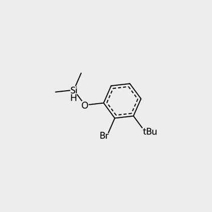 C[SiH](C)Oc1cccc(C(C)(C)C)c1Br